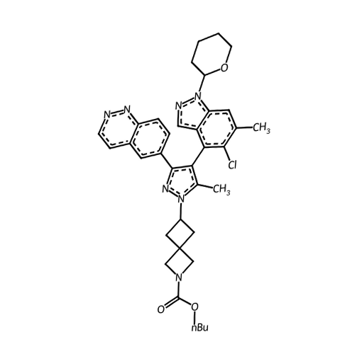 CCCCOC(=O)N1CC2(CC(n3nc(-c4ccc5nnccc5c4)c(-c4c(Cl)c(C)cc5c4cnn5C4CCCCO4)c3C)C2)C1